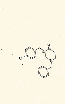 Clc1ccc(C[C@@H]2CN(Cc3ccccc3)CCN2)cc1